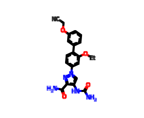 CCOc1cc(-n2cc(NC(N)=O)c(C(N)=O)n2)ccc1-c1cccc(OCC#N)c1